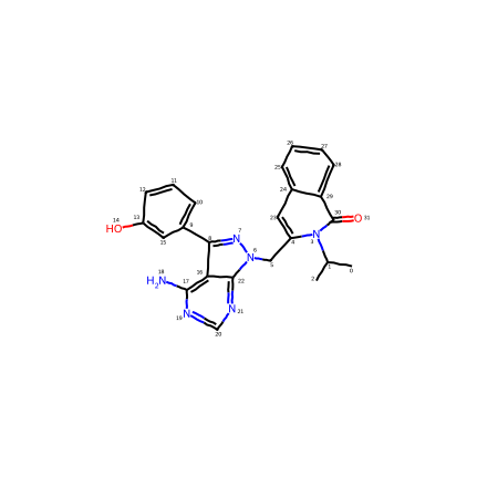 CC(C)n1c(Cn2nc(-c3cccc(O)c3)c3c(N)ncnc32)cc2ccccc2c1=O